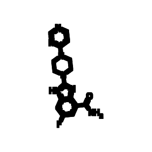 NC(=O)c1cc(F)cc2[nH]c(N3CCN(c4ccncn4)CC3)nc12